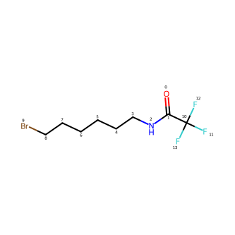 O=C(NCCCCCCBr)C(F)(F)F